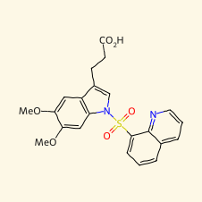 COc1cc2c(CCC(=O)O)cn(S(=O)(=O)c3cccc4cccnc34)c2cc1OC